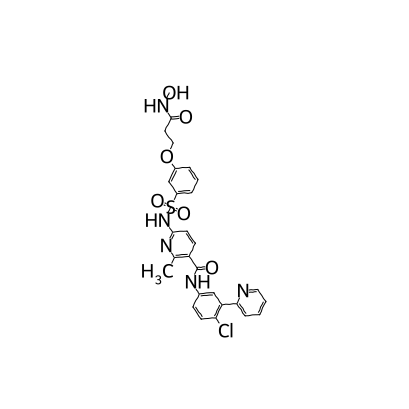 Cc1nc(NS(=O)(=O)c2cccc(OCCC(=O)NO)c2)ccc1C(=O)Nc1ccc(Cl)c(-c2ccccn2)c1